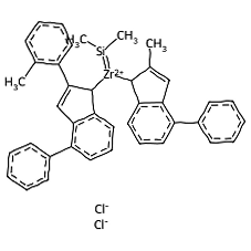 CC1=Cc2c(-c3ccccc3)cccc2[CH]1[Zr+2]([CH]1C(c2ccccc2C)=Cc2c(-c3ccccc3)cccc21)=[Si](C)C.[Cl-].[Cl-]